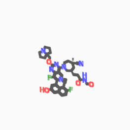 C#Cc1c(F)ccc2cc(O)cc(-c3ncc4c(N5CC[C@@](C)(C#N)C[C@@H](C=CC(=O)NC=O)C5)nc(OCC56CCCN5CCC6)nc4c3F)c12